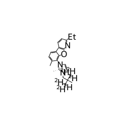 [2H]C([2H])([2H])C(C)(CN1C=CN(c2c(C)ccc3c2oc2nc(CC)ccc23)[C@H]1C)C([2H])([2H])[2H]